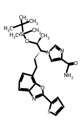 C[C@H](O[Si](C)(C)C(C)(C)C)[C@@H](CCc1cccc2nc(-c3cccs3)oc12)n1cnc(C(N)=O)c1